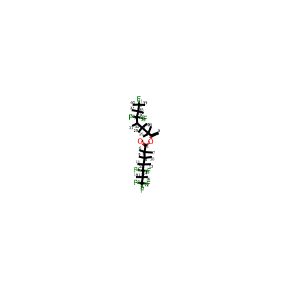 C=C(OC(=O)C(C)(C)C(C)(C)C(C)(C)C(F)(F)C(C)(C)C(F)(F)F)C(C)(C)C(C)(C)C(C)C(F)(F)C(C)(C)C(C)(C)F